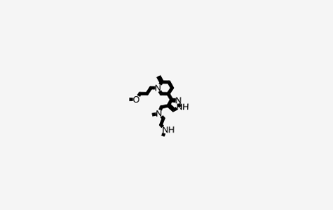 C=C1CCC(c2n[nH]cc2CN(C)CCNC)CN1CCCOC